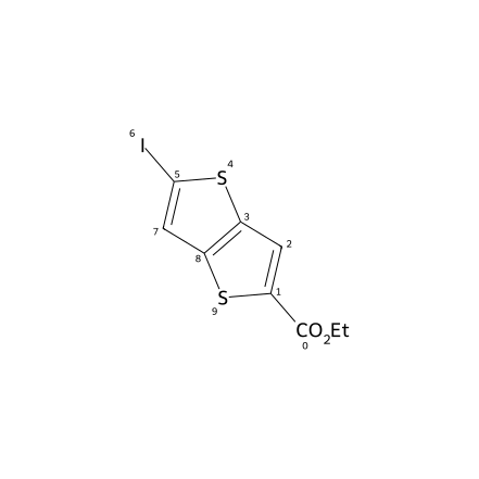 CCOC(=O)c1cc2sc(I)cc2s1